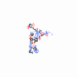 Cc1cccc(-c2nc(CN(Cc3cccc(Oc4cccnc4)c3)C(=O)OCc3ccc(NC(=O)[C@H](CCCNC(N)=O)NC(=O)C(NC(=O)CCCCCN4C(=O)C=CC4=O)C(C)C)cc3)[nH]c2-c2ccc3ncnn3c2)n1